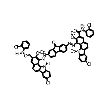 CCOc1c(CON(CC)c2ccccc2Cl)cc2ccc3c4cc(Cl)ccc4n(CC)c3c2c1N=Nc1ccc2c(c1)C(=O)c1cc(N=Nc3c(OCC)c(C(=O)N(CC)c4ccccc4Cl)cc4ccc5c6cc(Cl)ccc6n(CC)c5c34)ccc1-2